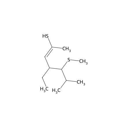 CCC(/C=C(\C)S)C(SC)C(C)C